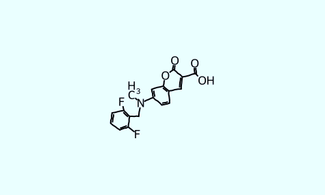 CN(Cc1c(F)cccc1F)c1ccc2cc(C(=O)O)c(=O)oc2c1